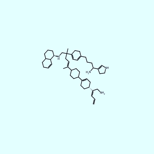 C=C/C=C(\CN)[C@H]1CC=C(C2CCC(/C(C)=C/CC(C)(CN[C@@H]3CCCC4CCC=CC43)C3=CC=C(CCCC(N)C4=CNCC4)CC3)CC2)CC1